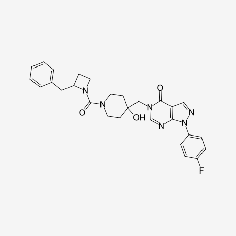 O=C(N1CCC(O)(Cn2cnc3c(cnn3-c3ccc(F)cc3)c2=O)CC1)N1CCC1Cc1ccccc1